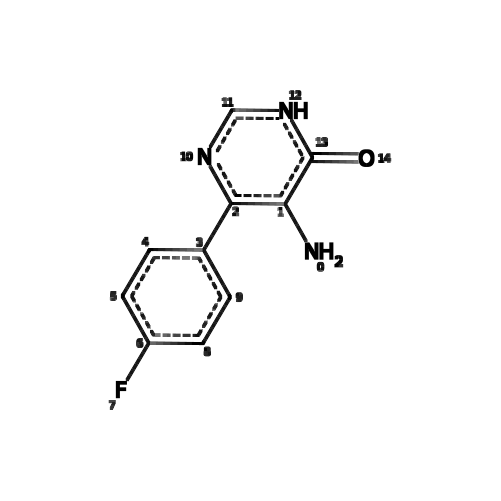 Nc1c(-c2ccc(F)cc2)nc[nH]c1=O